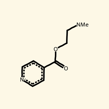 CNCCOC(=O)c1ccncc1